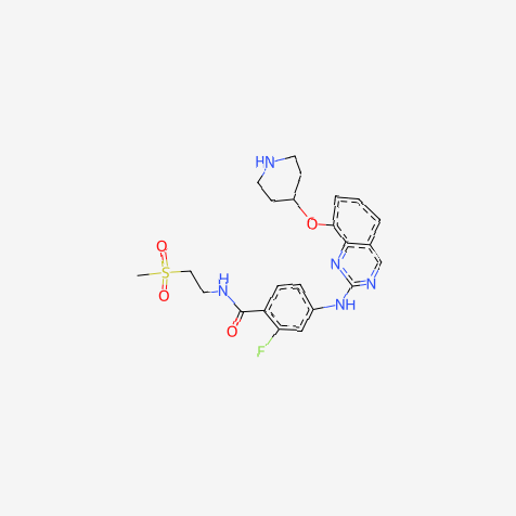 CS(=O)(=O)CCNC(=O)c1ccc(Nc2ncc3cccc(OC4CCNCC4)c3n2)cc1F